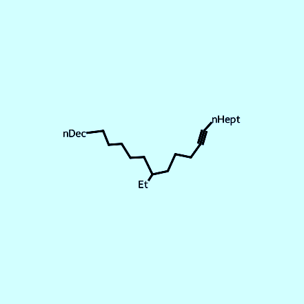 [CH2]CCCCCCC#CCCCC(CC)CCCCCCCCCCCCCC[CH2]